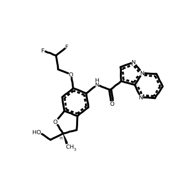 C[C@]1(CO)Cc2cc(NC(=O)c3cnn4cccnc34)c(OCC(F)F)cc2O1